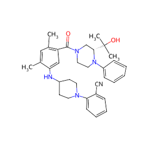 Cc1cc(C)c(C(=O)N2CCN(c3ccccc3)[C@@H](C(C)(C)O)C2)cc1NC1CCN(c2ccccc2C#N)CC1